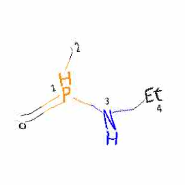 C=[PH](C)NCC